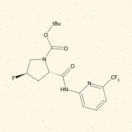 CC(C)(C)OC(=O)N1C[C@H](F)C[C@H]1C(=O)Nc1cccc(C(F)(F)F)n1